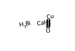 [BiH3].[CaH2].[O]=[Cu]